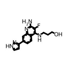 Nc1nc2cc(-c3cc[nH]n3)ccc2c(NCCCO)c1F